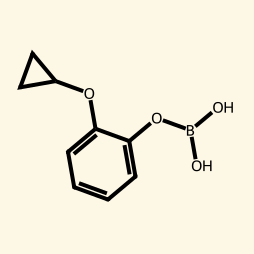 OB(O)Oc1ccccc1OC1CC1